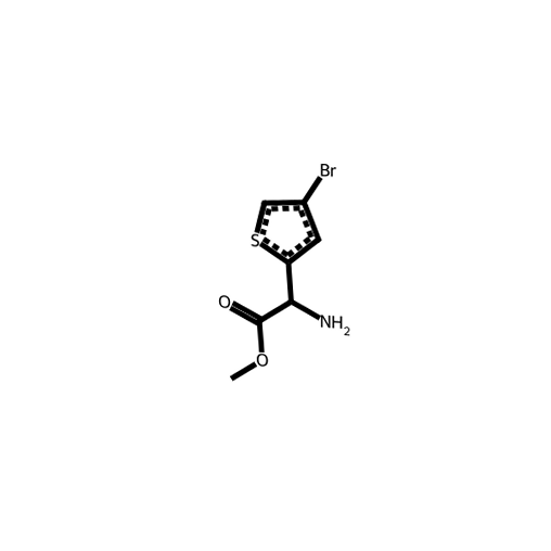 COC(=O)C(N)c1cc(Br)cs1